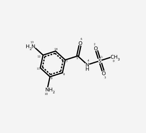 CS(=O)(=O)NC(=O)c1cc(N)cc(N)c1